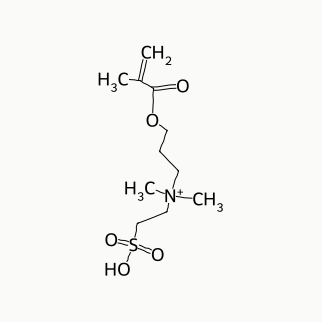 C=C(C)C(=O)OCCC[N+](C)(C)CCS(=O)(=O)O